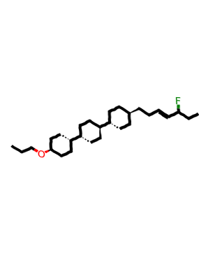 CCCO[C@H]1CC[C@H]([C@H]2CC[C@H]([C@H]3CC[C@H](CCC=CC(F)CC)CC3)CC2)CC1